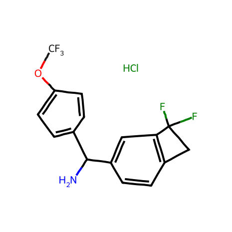 Cl.NC(c1ccc(OC(F)(F)F)cc1)c1ccc2c(c1)C(F)(F)C2